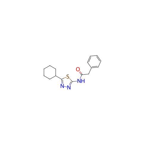 O=C(Cc1ccccc1)Nc1nnc(C2CCCCC2)s1